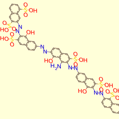 Nc1c(N=Nc2ccc3c(O)c(N=Nc4ccc5ccccc5c4S(=O)(=O)O)c(S(=O)(=O)O)cc3c2)c(S(=O)(=O)O)cc2ccc(N=Nc3ccc4cc(S(=O)(=O)O)c(N=Nc5cc6c(S(=O)(=O)O)cccc6cc5S(=O)(=O)O)c(O)c4c3)c(O)c12